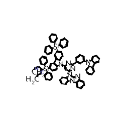 C=C/C=C(\C=C/C)[Si](c1ccccc1)(c1ccccc1)c1ccc2c(c1)c1cc([Si](c3ccccc3)(c3ccccc3)c3ccccc3)ccc1n2-c1cc(-n2c3ccccc3n3c4ccccc4nc23)nc(-c2cccc(-n3c4ccccc4c4ccccc43)c2)n1